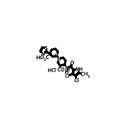 Cc1[nH]c(C(=O)N[C@@H]2CCN(N3CCCC(C(=O)O)(c4nccs4)C3)C[C@@H]2C(=O)O)c(Cl)c1Cl.Cl